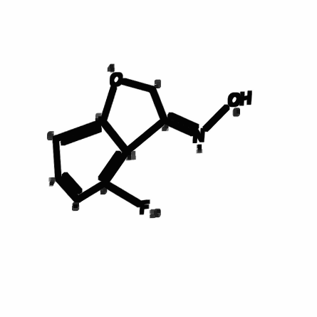 ON=C1COc2cccc(F)c21